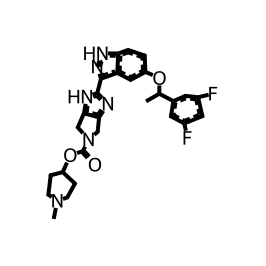 CC(Oc1ccc2[nH]nc(-c3nc4c([nH]3)CN(C(=O)OC3CCN(C)CC3)C4)c2c1)c1cc(F)cc(F)c1